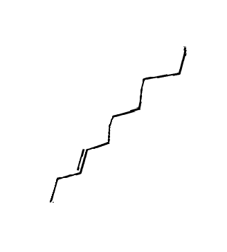 [CH2]CC=CCCCCCC